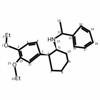 CCOc1ccc([C@@H]2CCCC[C@@H]2NC(C)c2ccccc2)cc1OCC